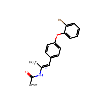 CCCCCC(=O)N/C(=C/c1ccc(Oc2ccccc2Br)cc1)C(=O)O